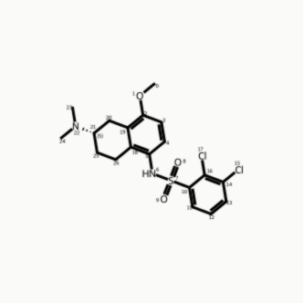 COc1ccc(NS(=O)(=O)c2cccc(Cl)c2Cl)c2c1C[C@@H](N(C)C)CC2